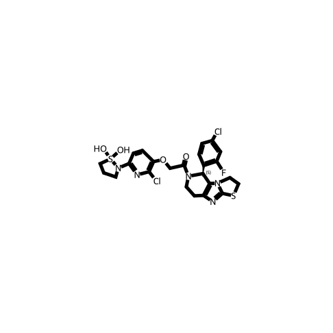 O=C(COc1ccc(N2CCCS2(O)O)nc1Cl)N1CCc2nc3n(c2[C@@H]1c1ccc(Cl)cc1F)CCS3